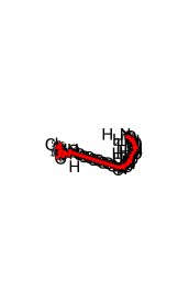 CC(=O)N1c2ccc(-c3ccc(C(=O)NCCOCCOCCOCCOCCOCCOCCOCCOCCNC(=O)c4cc(NC(=O)c5nc(NC(=O)CCNC(=O)c6cc(NC(=O)c7nc(NC(=O)CCN)cn7C)cn6C)cn5C)cn4C)cc3)cc2C(Nc2ccc(Cl)cc2)C[C@@H]1C